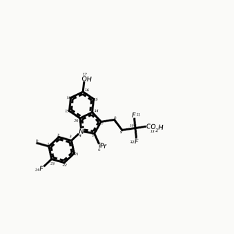 Cc1cc(-n2c(C(C)C)c(CCC(F)(F)C(=O)O)c3cc(O)ccc32)ccc1F